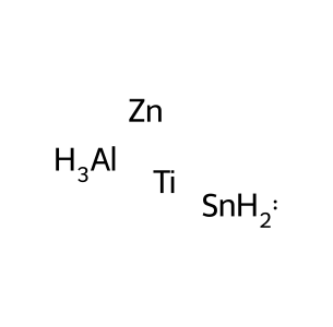 [AlH3].[SnH2].[Ti].[Zn]